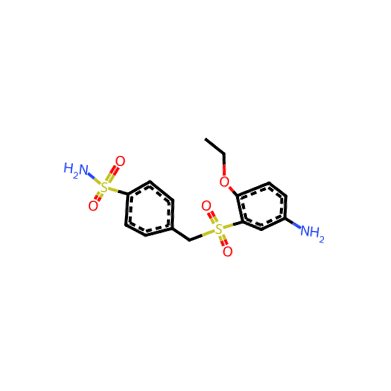 CCOc1ccc(N)cc1S(=O)(=O)Cc1ccc(S(N)(=O)=O)cc1